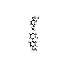 CCCCc1ccc(C#CC2=CCC(c3ccc(CCC)cc3)CC2)cc1